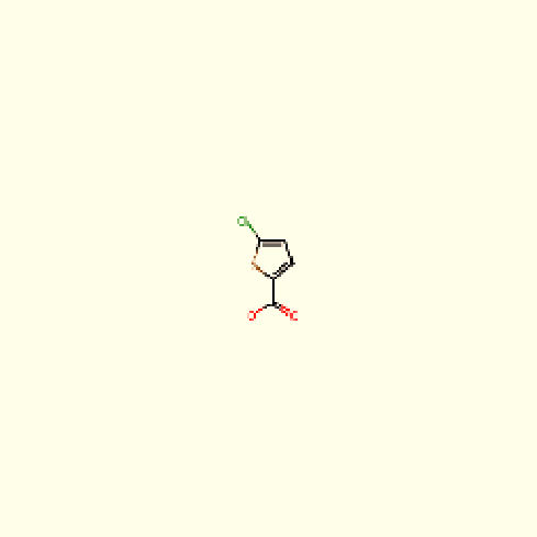 [O]C(=O)c1ccc(Cl)s1